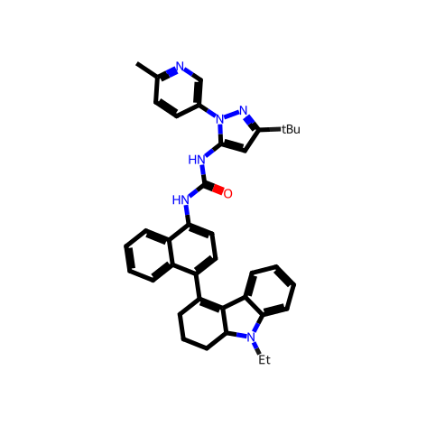 CCN1c2ccccc2C2=C(c3ccc(NC(=O)Nc4cc(C(C)(C)C)nn4-c4ccc(C)nc4)c4ccccc34)CCCC21